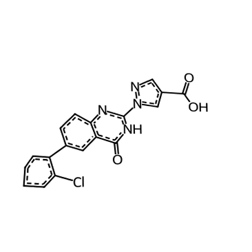 O=C(O)c1cnn(-c2nc3ccc(-c4ccccc4Cl)cc3c(=O)[nH]2)c1